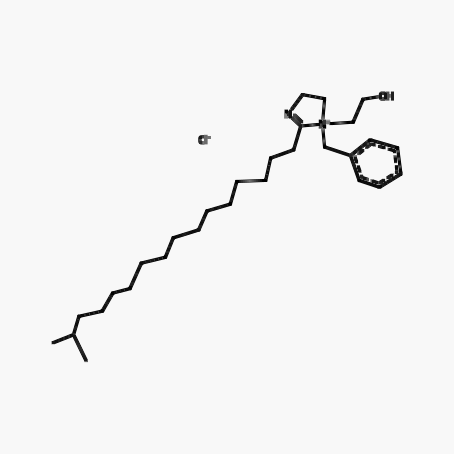 CC(C)CCCCCCCCCCCCCCC1=NCC[N+]1(CCO)Cc1ccccc1.[Cl-]